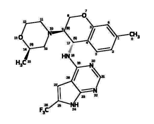 Cc1ccc2c(c1)OC[C@H](N1CCO[C@H](C)C1)[C@H]2Nc1ncnc2[nH]c(C(F)(F)F)cc12